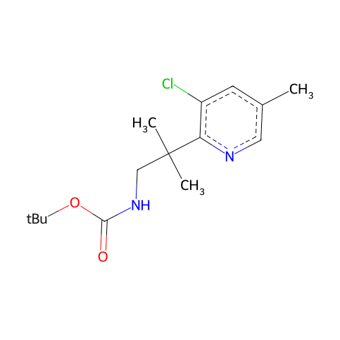 Cc1cnc(C(C)(C)CNC(=O)OC(C)(C)C)c(Cl)c1